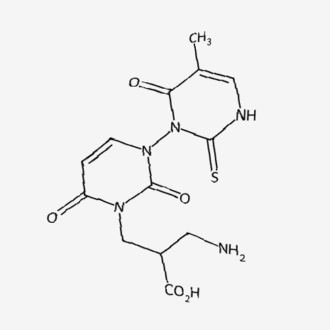 Cc1c[nH]c(=S)n(-n2ccc(=O)n(CC(CN)C(=O)O)c2=O)c1=O